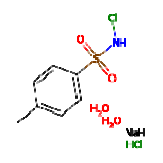 Cc1ccc(S(=O)(=O)NCl)cc1.Cl.O.O.[NaH]